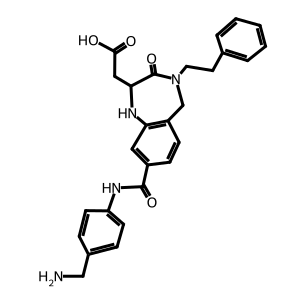 NCc1ccc(NC(=O)c2ccc3c(c2)NC(CC(=O)O)C(=O)N(CCc2ccccc2)C3)cc1